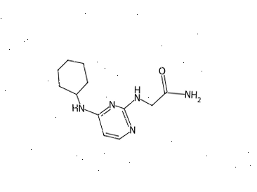 NC(=O)CNc1nccc(NC2CCCCC2)n1